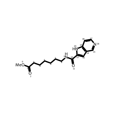 COC(=O)CCCCCCNC(=O)c1cc2cnccc2[nH]1